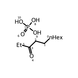 CCCCCCCCC(=O)CC.O=P(O)(O)O